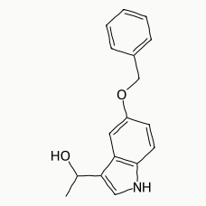 CC(O)c1c[nH]c2ccc(OCc3ccccc3)cc12